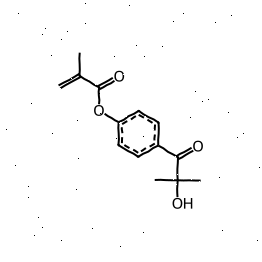 C=C(C)C(=O)Oc1ccc(C(=O)C(C)(C)O)cc1